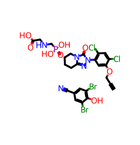 C#CCOc1cc(-n2nc3n(c2=O)CCCC3)c(Cl)cc1Cl.N#Cc1cc(Br)c(O)c(Br)c1.O=C(O)CNCP(=O)(O)O